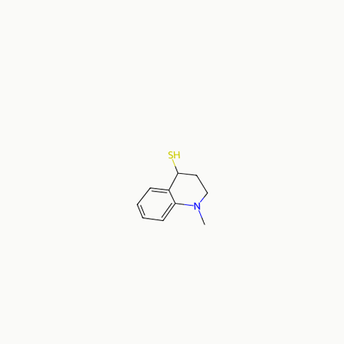 CN1CCC(S)c2ccccc21